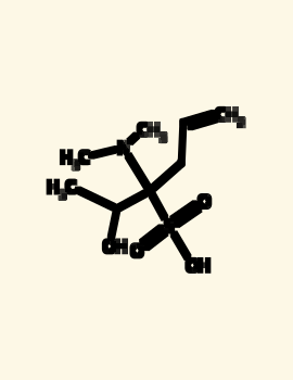 C=CCC(C(C)O)(N(C)C)S(=O)(=O)O